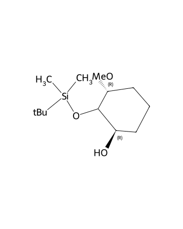 CO[C@@H]1CCC[C@@H](O)C1O[Si](C)(C)C(C)(C)C